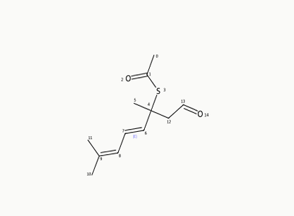 CC(=O)SC(C)(/C=C/C=C(C)C)CC=O